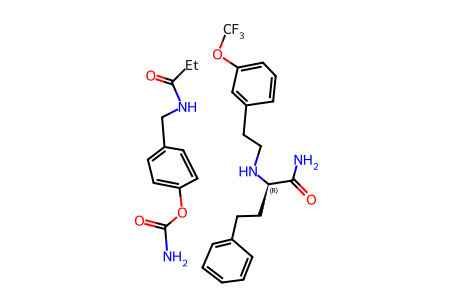 CCC(=O)NCc1ccc(OC(N)=O)cc1.NC(=O)[C@@H](CCc1ccccc1)NCCc1cccc(OC(F)(F)F)c1